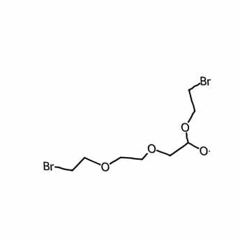 [O]C(COCCOCCBr)OCCBr